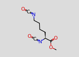 COC(=O)[C@H](CCCCN=C=O)N=C=O